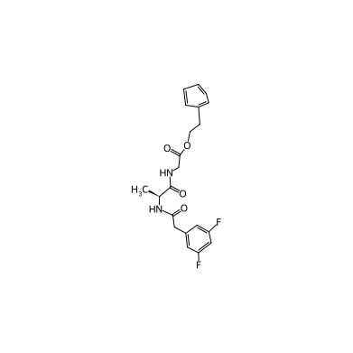 C[C@H](NC(=O)Cc1cc(F)cc(F)c1)C(=O)NCC(=O)OCCc1ccccc1